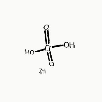 [O]=[Cr](=[O])([OH])[OH].[Zn]